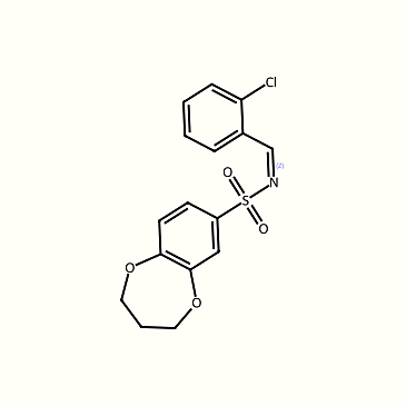 O=S(=O)(/N=C\c1ccccc1Cl)c1ccc2c(c1)OCCCO2